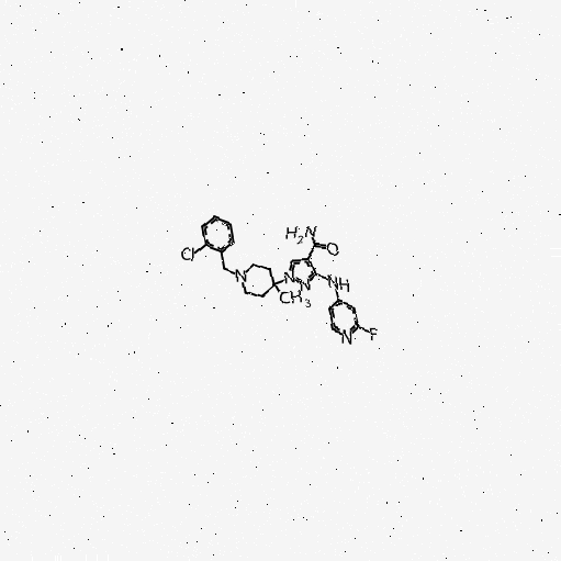 CC1(n2cc(C(N)=O)c(Nc3ccnc(F)c3)n2)CCN(Cc2ccccc2Cl)CC1